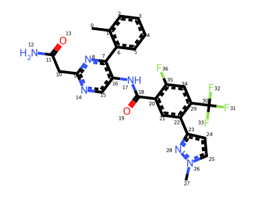 Cc1ccccc1-c1nc(CC(N)=O)ncc1NC(=O)c1cc(-c2ccn(C)n2)c(C(F)(F)F)cc1F